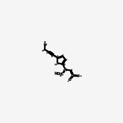 O=C(O)N(C=S(=O)=O)c1ccc(C#CCBr)s1